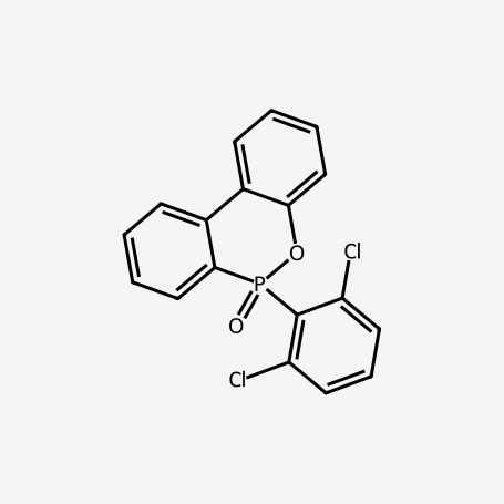 O=P1(c2c(Cl)cccc2Cl)Oc2ccccc2-c2ccccc21